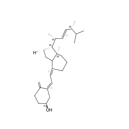 C=C1CC[C@H](O)C/C1=C/C=C1\CCC[C@@]2(C)C1CC[C@@H]2[C@H](C)/C=C/[C@H](C)C(C)C.[H+]